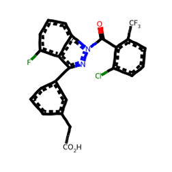 O=C(O)Cc1cccc(-c2nn(C(=O)c3c(Cl)cccc3C(F)(F)F)c3cccc(F)c23)c1